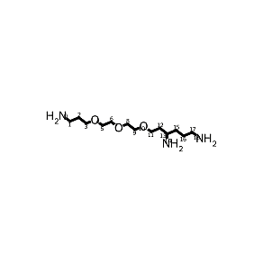 NCCCOCCOCCOCCC(N)CCCN